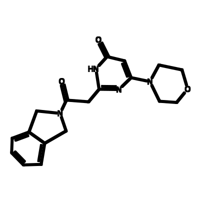 O=C(Cc1nc(N2CCOCC2)cc(=O)[nH]1)N1Cc2ccccc2C1